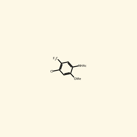 COc1cc(Cl)c(C(F)(F)F)cc1NC(C)=O